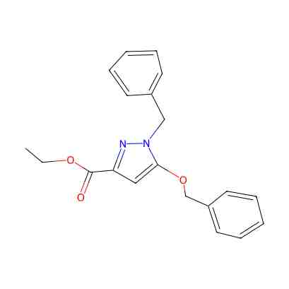 CCOC(=O)c1cc(OCc2ccccc2)n(Cc2ccccc2)n1